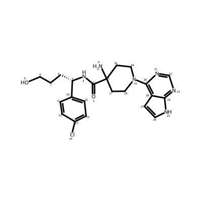 NC1(C(=O)N[C@@H](CCCO)c2ccc(Cl)cc2)CCN(c2ncnc3[nH]ccc23)CC1